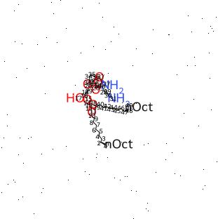 CCCCCCCC/C=C\CCCCCCCCOC[C@H](COC(O)CCCCC1(OC(=O)[C@@H](N)CCCN)C(=O)CCC1=O)OCCCCCCCC/C=C\CCCCCCCC